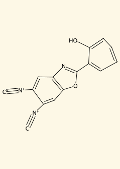 [C-]#[N+]c1cc2nc(-c3ccccc3O)oc2cc1[N+]#[C-]